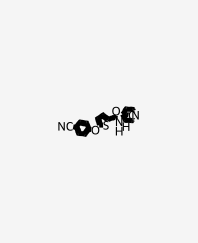 N#Cc1ccc(Oc2ccc(C(=O)N[C@H]3CN4CCC3CC4)s2)cc1